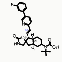 CC(C)(C)N(C(=O)O)C1CC[C@@H]2[C@@H](C1)CC1(CNC(=O)O1)[C@H]2/C=C/c1ccc(-c2cccc(F)c2)cn1